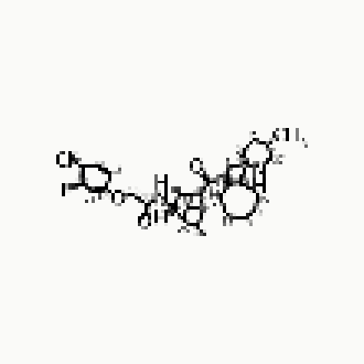 CC1CCC(CNC(=O)C2C[C@H](NC(=O)COc3ccc(Cl)c(F)c3)C3CC2C3)(C2CCCCCC2)NC1